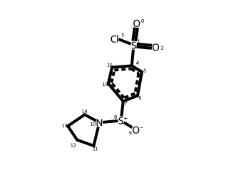 O=S(=O)(Cl)c1ccc([S+]([O-])N2CCCC2)cc1